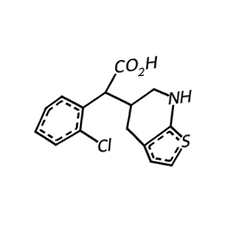 O=C(O)C(c1ccccc1Cl)C1CNc2sccc2C1